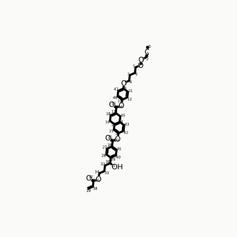 C=C=COOCCCCOc1ccc(OC(=O)C2=CCc3cc(OC(=O)c4ccc(C(O)CCCOC(=O)C=C)cc4)ccc3C2)cc1